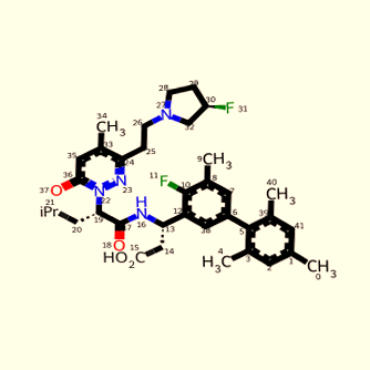 Cc1cc(C)c(-c2cc(C)c(F)c([C@H](CC(=O)O)NC(=O)[C@H](CC(C)C)n3nc(CCN4CC[C@@H](F)C4)c(C)cc3=O)c2)c(C)c1